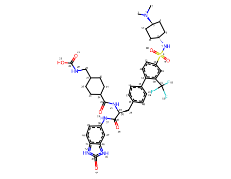 CN(C)[C@H]1CC[C@H](NS(=O)(=O)c2ccc(-c3ccc(C[C@H](NC(=O)C4CCC(CNC(=O)O)CC4)C(=O)Nc4ccc5[nH]c(=O)[nH]c5c4)cc3)c(C(F)(F)F)c2)CC1